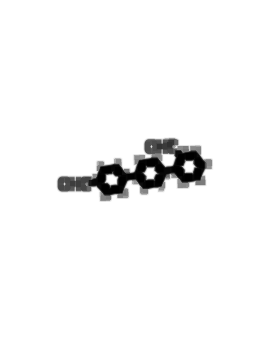 O=Cc1ccc(-c2ccc(-c3ccccc3C=O)cc2)cc1